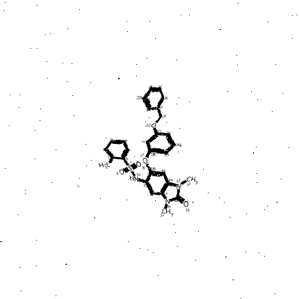 Cc1ccccc1S(=O)(=O)Nc1cc2c(cc1Oc1cccc(OCc3ccccc3)c1)n(C)c(=O)n2C